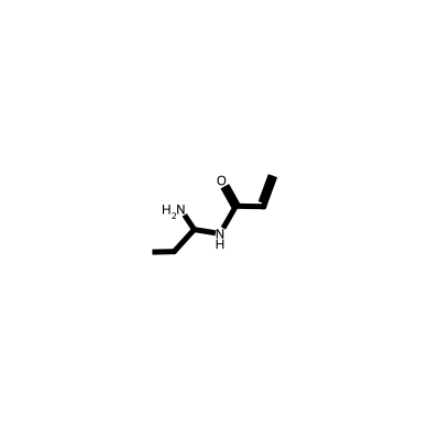 C=CC(=O)NC(N)CC